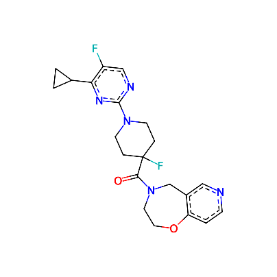 O=C(N1CCOc2ccncc2C1)C1(F)CCN(c2ncc(F)c(C3CC3)n2)CC1